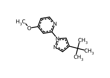 COc1ccnc(-n2cc(C(C)(C)C)cn2)c1